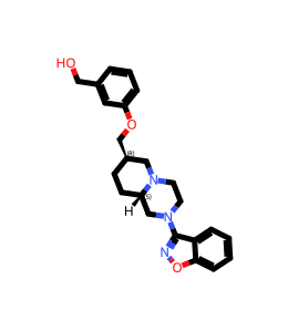 OCc1cccc(OC[C@@H]2CC[C@H]3CN(c4noc5ccccc45)CCN3C2)c1